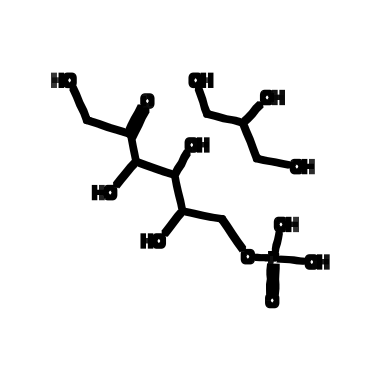 O=C(CO)C(O)C(O)C(O)COP(=O)(O)O.OCC(O)CO